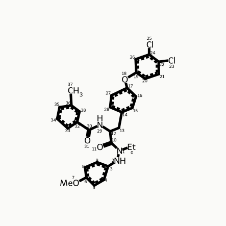 CCN(Nc1ccc(OC)cc1)C(=O)C(Cc1ccc(Oc2ccc(Cl)c(Cl)c2)cc1)NC(=O)c1cccc(C)c1